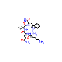 C[C@H](NC(=O)[C@H](CCC(N)=O)NC(=O)[C@@H](N)CCCCN)C(=O)N[C@@H](Cc1c[nH]c2ccccc12)C(N)=O